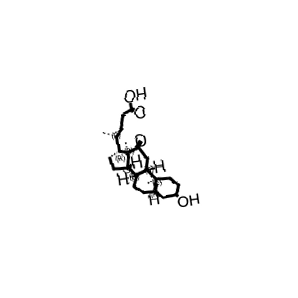 C[C@H](CCC(=O)O)[C@H]1CC[C@H]2[C@@H]3CC[C@@H]4CC(O)CC[C@]4(C)[C@H]3CC(=O)[C@]12C